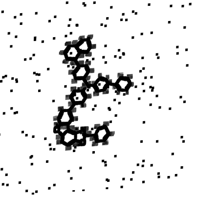 c1ccc(-c2ccc(N(c3ccc(-c4ccc5oc6ccc7oc(-c8ccccc8)nc7c6c5c4)cc3)c3ccc(-c4cccc5ccccc45)cc3)cc2)cc1